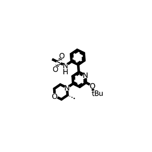 C[C@@H]1COCCN1c1cc(OC(C)(C)C)nc(-c2ccccc2NS(C)(=O)=O)c1